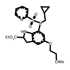 CCOC(=O)C1Cc2cc(OCCOC)cc(N(CC3CC3)S(=O)(=O)c3ccccn3)c2N1